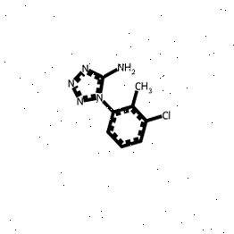 Cc1c(Cl)cccc1-n1nnnc1N